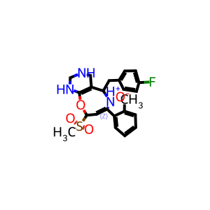 Cc1ccccc1/C1=C/C(S(C)(=O)=O)OC2=C(CNCN2)C(Cc2ccc(F)cc2)[NH+]1[O-]